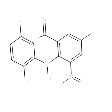 O=C(Cl)c1cc(Br)cc([N+](=O)[O-])c1[SiH](Cl)c1cc(F)ccc1Cl